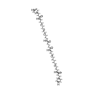 O=C(CCCC(=O)NCCCOCCOCCOCCCNC(=O)CCN1CCNCC1)NCCCOCCCCCOCCCNC(=O)CCN1CCNCC1